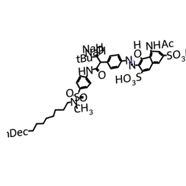 CCCCCCCCCCCCCCCCCCN(C)S(=O)(=O)c1ccc(NC(=O)C(C(=O)C(C)(C)C)c2ccc(/N=N/c3c(S(=O)(=O)O)cc4cc(S(=O)(=O)O)cc(NC(C)=O)c4c3O)cc2)cc1.[NaH].[NaH]